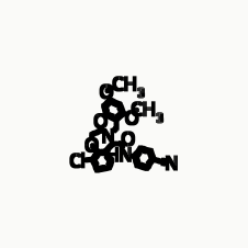 COc1ccc(CN2C(=O)COc3c(Cl)cccc3C2C(=O)Nc2ccc(C#N)cc2)c(OC)c1